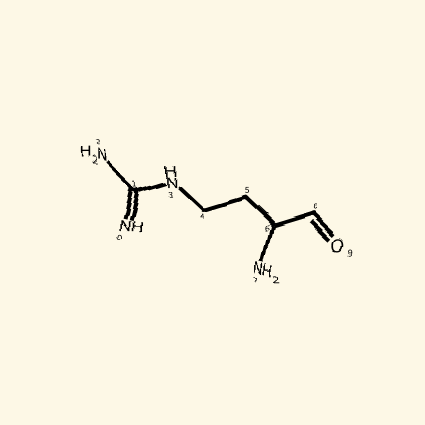 N=C(N)NCCC(N)C=O